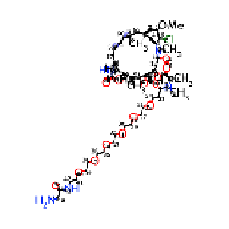 COc1cc2cc(c1Cl)N(C)C(=O)C[C@H](OC(=O)[C@H](C)N(C)C(=O)CCOCCOCCOCCOCCOCCOCCNC(=O)CN)[C@]1(C)OC1[C@H](C)[C@@H]1C[C@H](C/C=C/C=C(\C)C2)NC(=O)O1